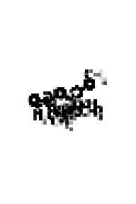 CC(C)(C)OC(=O)NC(=O)OC(C)(C)C.Cc1cccc(C2CCN(C(=O)c3cccc(-c4nnc(-c5ccccc5Cl)o4)c3)CC2)c1